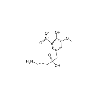 COc1cc(CP(=O)(O)CCCN)cc([N+](=O)[O-])c1O